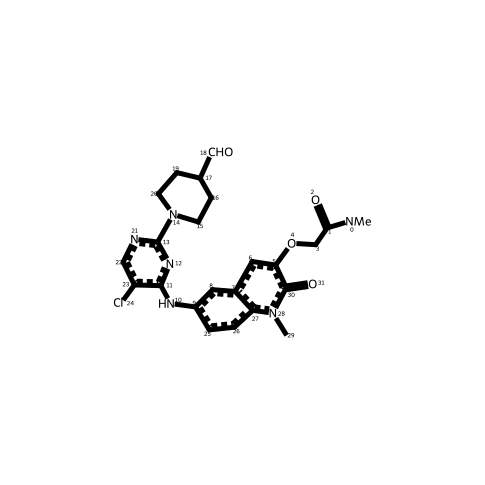 CNC(=O)COc1cc2cc(Nc3nc(N4CCC(C=O)CC4)ncc3Cl)ccc2n(C)c1=O